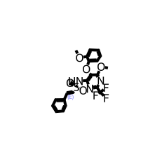 COc1ccccc1Oc1c(NS(=O)(=O)/C=C/c2ccccc2)nc(C(F)(F)F)nc1OC